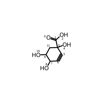 O=C(O)C1(O)C#CC(O)C(O)C1